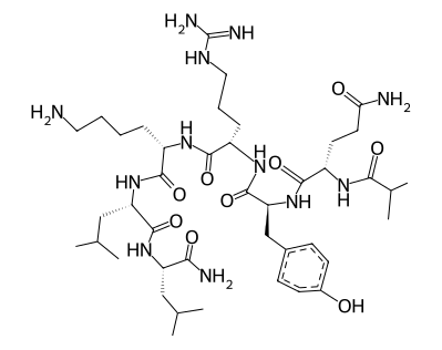 CC(C)C[C@H](NC(=O)[C@H](CC(C)C)NC(=O)[C@H](CCCCN)NC(=O)[C@H](CCCNC(=N)N)NC(=O)[C@H](Cc1ccc(O)cc1)NC(=O)[C@H](CCC(N)=O)NC(=O)C(C)C)C(N)=O